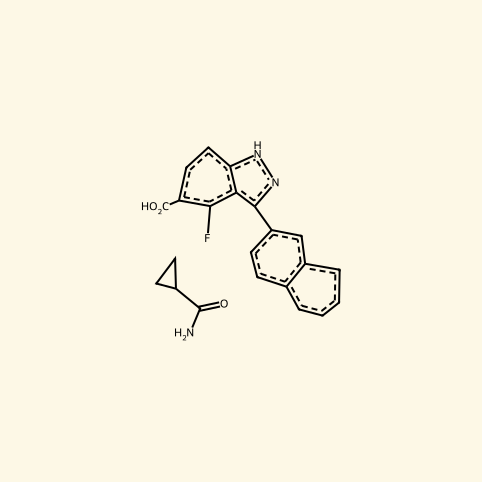 NC(=O)C1CC1.O=C(O)c1ccc2[nH]nc(-c3ccc4ccccc4c3)c2c1F